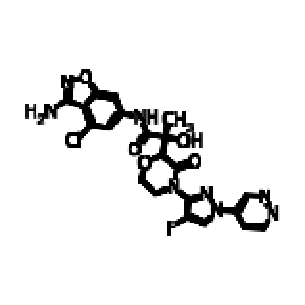 CC(O)(C(=O)Nc1cc(Cl)c2c(N)noc2c1)C1OCCN(c2nn(-c3ccnnc3)cc2F)C1=O